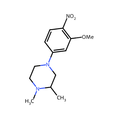 COc1cc(N2CCN(C)C(C)C2)ccc1[N+](=O)[O-]